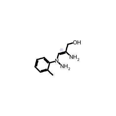 Cc1ccccc1N(N)/C=C(\N)CO